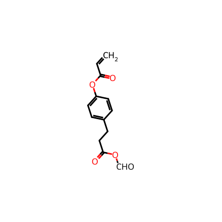 C=CC(=O)Oc1ccc(CCC(=O)OC=O)cc1